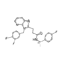 C[C@H](NC(=O)CCc1nc2cccnc2n1Cc1ccc(F)c(F)c1)c1ccc(F)cc1